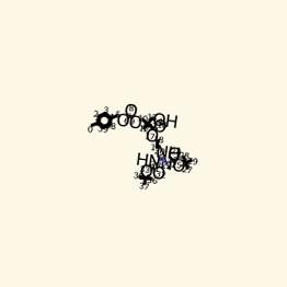 Cc1ccc(COC(=O)OCC(C)(CO)C(=O)OCCN/C(=N\C(=O)OC(C)(C)C)NC(=O)OC(C)(C)C)cc1